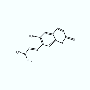 CN(C)C=Cc1cc2oc(=O)ccc2cc1[N+](=O)[O-]